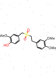 COc1cc(CS(=O)(=O)CCc2ccc(OC)c(OC)c2)ccc1O